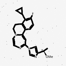 CO[C@H](C)c1cn(C2=NC=CN3CCc4c(ccc(F)c4C4CC4)C3=C2)cn1